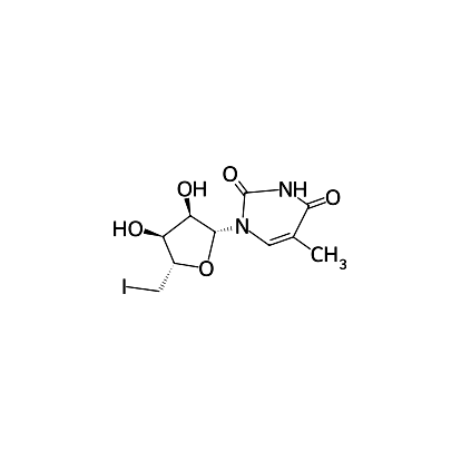 Cc1cn([C@@H]2O[C@H](CI)[C@@H](O)[C@H]2O)c(=O)[nH]c1=O